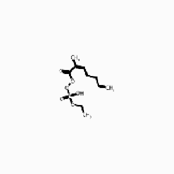 CCCCC=C(C)C(=O)OOP(=O)(O)OCC